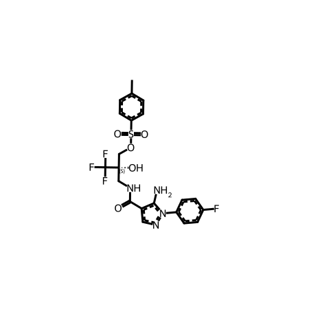 Cc1ccc(S(=O)(=O)OC[C@@](O)(CNC(=O)c2cnn(-c3ccc(F)cc3)c2N)C(F)(F)F)cc1